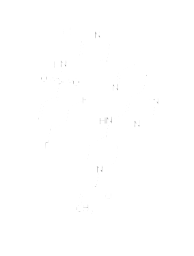 C=CC(=O)N1CCC(Nc2ncnc3ccc(-c4cnc(Cl)c(NS(=O)(=O)c5ccc(F)cc5F)c4)nc23)CC1